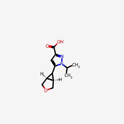 CC(C)n1nc(C(=O)O)cc1C1[C@H]2COC[C@@H]12